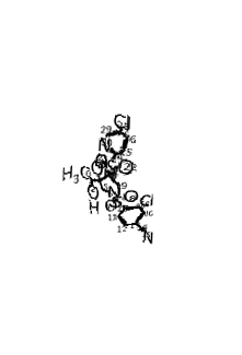 C[C@H](O)[C@@]1(O)CN(S(=O)(=O)c2ccc(C#N)cc2Cl)C[C@H]1S(=O)(=O)c1ccc(Cl)cn1